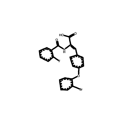 O=C(O)/C(=C/c1ccc(Oc2ccccc2Br)cc1)NC(=O)c1ccccc1F